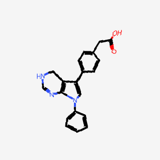 O=C(O)Cc1ccc(-c2cn(-c3ccccc3)c3c2CNC=N3)cc1